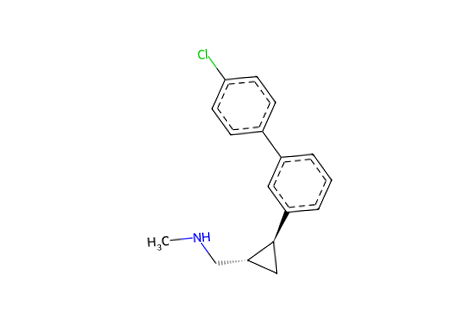 CNC[C@H]1C[C@@H]1c1cccc(-c2ccc(Cl)cc2)c1